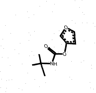 CC(C)(C)NC(=O)Oc1ccoc1